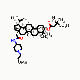 C=C(C)[C@@H]1CC[C@]2(CC(=O)NC3CCN(CCOC)CC3)CC[C@]3(C)[C@H](CC[C@@H]4[C@@]5(C)CC[C@H](OC(=O)CC(C)(C)C(=O)O)C(C)(C)[C@@H]5CC[C@]43C)[C@@H]12